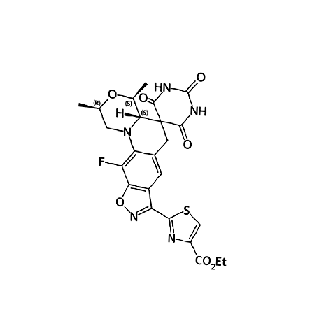 CCOC(=O)c1csc(-c2noc3c(F)c4c(cc23)CC2(C(=O)NC(=O)NC2=O)[C@H]2[C@H](C)O[C@H](C)CN42)n1